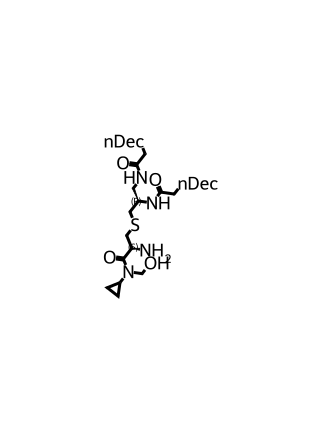 CCCCCCCCCCCC(=O)NC[C@H](CSC[C@@H](N)C(=O)N(CO)C1CC1)NC(=O)CCCCCCCCCCC